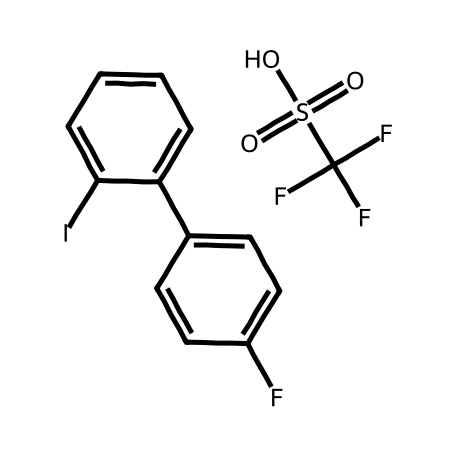 Fc1ccc(-c2ccccc2I)cc1.O=S(=O)(O)C(F)(F)F